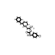 O=C(Nc1ccc(Cl)cc1)OC(CN1CCCC(Cc2ccccc2)C1)C(F)(F)F